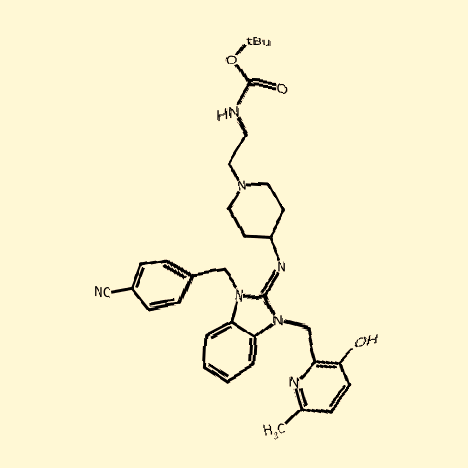 Cc1ccc(O)c(Cn2/c(=N/C3CCN(CCNC(=O)OC(C)(C)C)CC3)n(Cc3ccc(C#N)cc3)c3ccccc32)n1